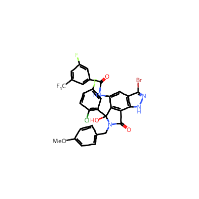 COc1ccc(CN2C(=O)c3c(c(NC(=O)c4cc(F)cc(C(F)(F)F)c4)cc4c(Br)n[nH]c34)C2(O)c2cc(F)ccc2Cl)cc1